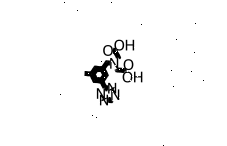 Cc1cc(CN(CC(=O)O)CC(=O)O)cc(-c2nncnn2)c1